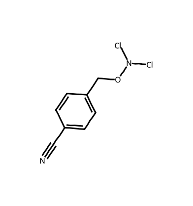 N#Cc1ccc(CON(Cl)Cl)cc1